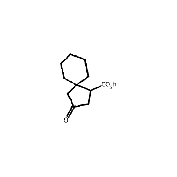 O=C1CC(C(=O)O)C2(CCCCC2)C1